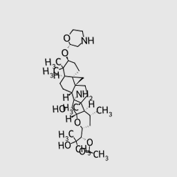 CC(=O)O[C@@H]([C@H]1C[C@@H](C)[C@H]2[C@H](O1)[C@H](O)[C@@]1(N)[C@@H]3CC[C@H]4C(C)(C)[C@@H](O[C@H]5CNCCO5)CC[C@@]45C[C@@]35CC[C@]21C)C(C)(C)O